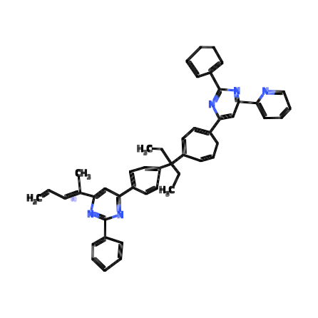 C=C/C=C(\C)c1cc(-c2ccc(C(CC)(CC)C3=CC=C(c4cc(-c5ccccn5)nc(C5=CCCC=C5)n4)CC=C3)cc2)nc(-c2ccccc2)n1